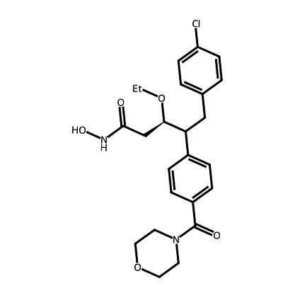 CCO[C@H](CC(=O)NO)C(Cc1ccc(Cl)cc1)c1ccc(C(=O)N2CCOCC2)cc1